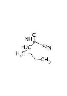 CC(Cl)C#N.CCCC.N